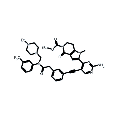 CCN1CCN(CN(C(=O)Cc2cccc(C#Cc3cnc(N)nc3-c3cc4c(n3C)CCN(C(=O)OC(C)(C)C)C4=O)c2)c2cccc(C(F)(F)F)c2)CC1